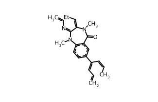 C=C/C=C(\C=C/C)c1ccc2c(c1)C(=O)N(C)C(=C/CC)/C(=N\C=C)N2C